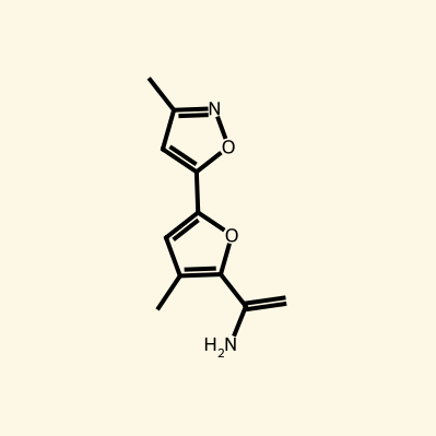 C=C(N)c1oc(-c2cc(C)no2)cc1C